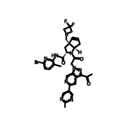 CC(=O)c1nn(CC(=O)N2[C@H](C(=O)Nc3nc(Br)ccc3C)C[C@@]3(CN4CC(F)(F)C4)C#CC[C@@H]23)c2cnc(-c3cnc(C)nc3)cc12